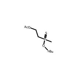 CCCCOP(C)(=S)CCOC(C)=O